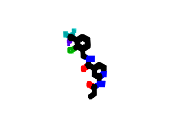 CCC(=O)Nc1cc(C(=O)NCc2cccc(C(F)(F)I)c2Cl)ccn1